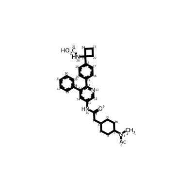 CC(=O)N(C)C1CCC(CC(=O)Nc2cnc(-c3ccc(C4(NC(=O)O)CCC4)cc3)c(-c3ccccc3)c2)CC1